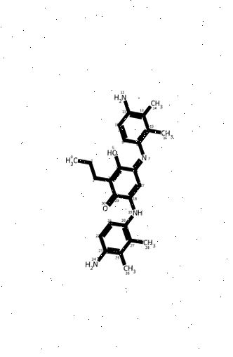 CCCC1=C(O)/C(=N\c2ccc(N)c(C)c2C)C=C(Nc2ccc(N)c(C)c2C)C1=O